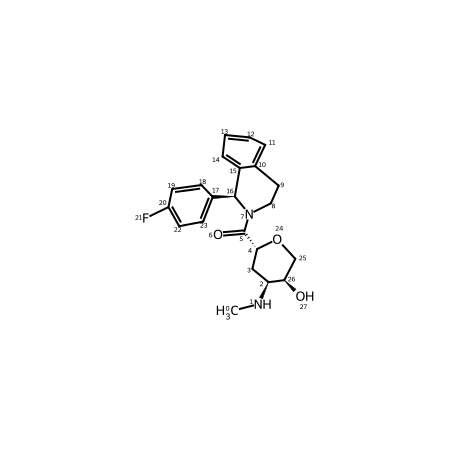 CN[C@H]1C[C@H](C(=O)N2CCc3ccccc3[C@@H]2c2ccc(F)cc2)OC[C@H]1O